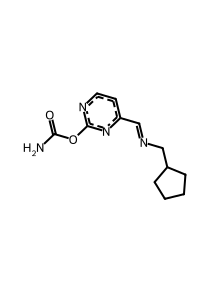 NC(=O)Oc1nccc(C=NCC2CCCC2)n1